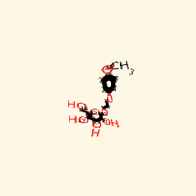 COc1ccc(OCCCO[C@@H]2O[C@H](CO)[C@@H](O)[C@H](O)[C@H]2O)cc1